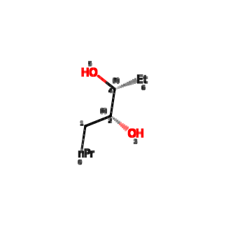 CCCC[C@@H](O)[C@H](O)CC